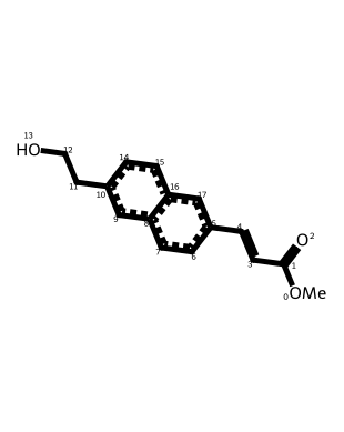 COC(=O)C=Cc1ccc2cc(CCO)ccc2c1